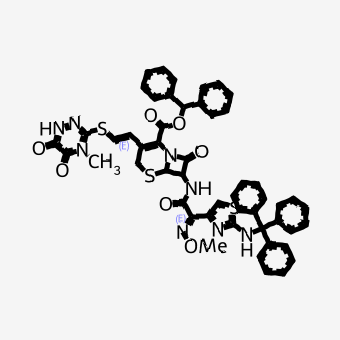 CO/N=C(/C(=O)NC1C(=O)N2C(C(=O)OC(c3ccccc3)c3ccccc3)=C(/C=C/Sc3n[nH]c(=O)c(=O)n3C)CSC12)c1csc(NC(c2ccccc2)(c2ccccc2)c2ccccc2)n1